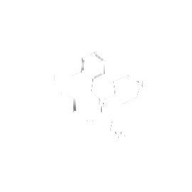 COCCN(Cc1ccccc1C(F)(F)F)C1CCNCC1.O=C(O)/C=C/C(=O)O